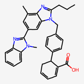 CCCc1nc2c(C)cc(-c3nc4ccccc4n3C)cc2n1Cc1ccc(C2CC=CC=C2C(=O)O)cc1